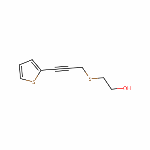 OCCSCC#Cc1cccs1